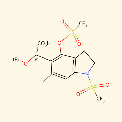 Cc1cc2c(c(OS(=O)(=O)C(F)(F)F)c1[C@H](OC(C)(C)C)C(=O)O)CCN2S(=O)(=O)C(F)(F)F